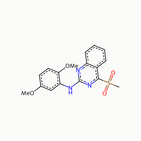 COc1ccc(OC)c(Nc2nc(S(C)(=O)=O)c3ccccc3n2)c1